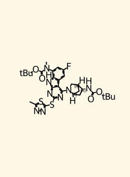 Cc1nnc(Sc2nc(N3C[C@H]4C[C@@H]3C[C@H]4NC(=O)OC(C)(C)C)c3c(n2)[nH]c2c(N(C)C(=O)OC(C)(C)C)cc(F)cc23)s1